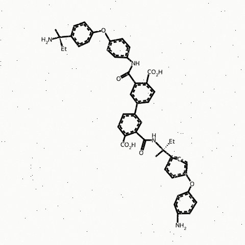 CC[C@](C)(N)c1ccc(Oc2ccc(NC(=O)c3cc(-c4ccc(C(=O)O)c(C(=O)N[C@@](C)(CC)c5ccc(Oc6ccc(N)cc6)cc5)c4)ccc3C(=O)O)cc2)cc1